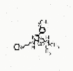 COc1cccc(-c2cnc(NCCCCN3CCCCC3)c(=O)n2CC(=O)NC(C)C)c1